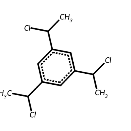 CC(Cl)c1cc(C(C)Cl)cc(C(C)Cl)c1